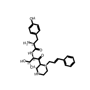 C[C@H](O)[C@@H](NC(=O)[C@@H](N)Cc1ccc(O)cc1)C(=O)C1CNCCN1CC=Cc1ccccc1